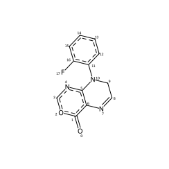 O=c1ocnc2c1N=CCN2c1ccccc1F